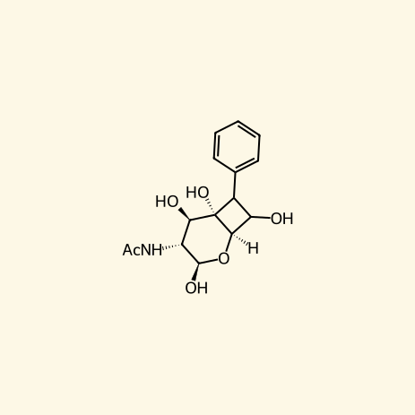 CC(=O)N[C@H]1[C@H](O)O[C@@H]2C(O)C(c3ccccc3)[C@]2(O)[C@@H]1O